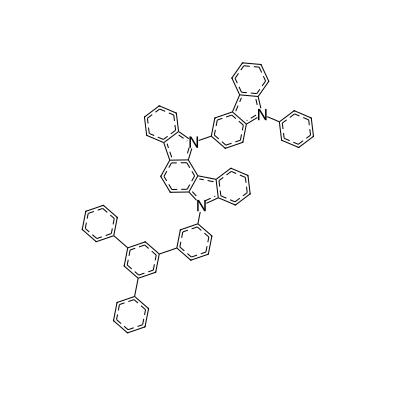 c1ccc(-c2cc(-c3ccccc3)cc(-c3cccc(-n4c5ccccc5c5c4ccc4c6ccccc6n(-c6ccc7c(c6)c6ccccc6n7-c6ccccc6)c45)c3)c2)cc1